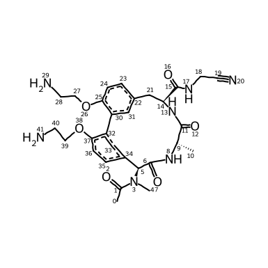 CC(=O)N(C)[C@@H]1C(=O)N[C@@H](C)C(=O)N[C@H](C(=O)NCC#N)Cc2ccc(OCCN)c(c2)-c2cc1ccc2OCCN